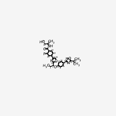 CCC(Oc1ccc(-c2noc(C(C)C)n2)cc1)c1nc(-c2ccc(C(=O)N[C@@H](C)CO)c(F)c2)co1